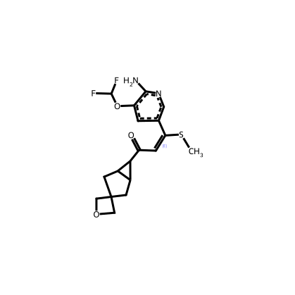 CS/C(=C/C(=O)C1C2CC3(COC3)CC21)c1cnc(N)c(OC(F)F)c1